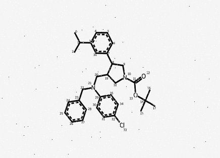 CC(C)c1cccc(C2CN(C(=O)OC(C)(C)C)CC2CN(Cc2ccccc2)c2ccc(Cl)cc2)c1